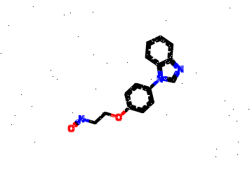 O=NCCOc1ccc(-n2cnc3ccccc32)cc1